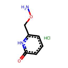 Cl.NOCc1cccc(=O)[nH]1